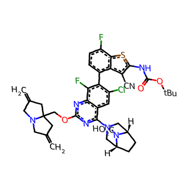 C=C1CN2CC(=C)CC2(COc2nc(N3C[C@H]4CC[C@@H](C3)N4C(=O)O)c3cc(Cl)c(-c4ccc(F)c5sc(NC(=O)OC(C)(C)C)c(C#N)c45)c(F)c3n2)C1